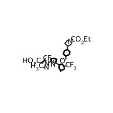 C/C=N\N(/C(=C/C(=O)O)C(F)(F)F)c1cccc(-c2cccc(C(F)(F)F)c2OCc2ccc(C3CCN(C(=O)OCC)C3)cc2)n1